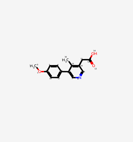 COc1ccc(-c2cncc(CC(=O)O)c2C)cc1